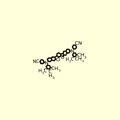 Cc1cc(N(c2ccc(C#N)cc2)c2ccc3cc4c(cc3c2)oc2c4ccc3c4cc5ccc(N(c6ccc(C#N)cc6)c6cc(C)c(C)c(C)c6)cc5cc4oc32)cc(C)c1C